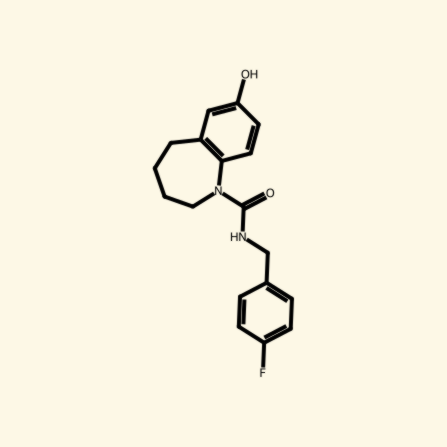 O=C(NCc1ccc(F)cc1)N1CCCCc2cc(O)ccc21